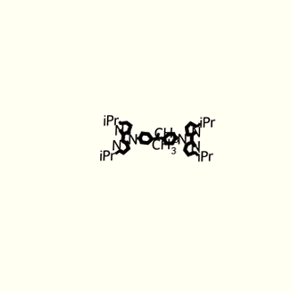 CC(C)c1ccc2c(n1)c1nc(C(C)C)ccc1n2-c1ccc(C(C)(C)c2ccc(-n3c4ccc(C(C)C)nc4c4nc(C(C)C)ccc43)cc2)cc1